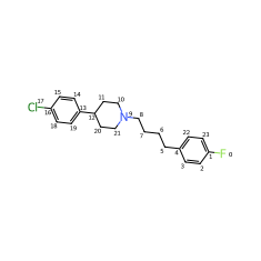 Fc1ccc(CCCCN2CCC(c3ccc(Cl)cc3)CC2)cc1